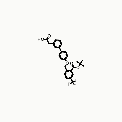 CC(C)(C)OC(=O)c1cc(C(F)(F)F)ccc1COc1ccc(-c2cccc(CC(=O)O)c2)cc1